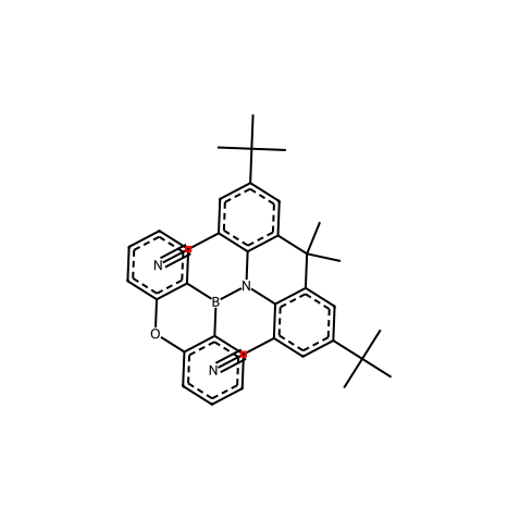 CC(C)(C)c1cc(C#N)c2c(c1)C(C)(C)c1cc(C(C)(C)C)cc(C#N)c1N2B1c2ccccc2Oc2ccccc21